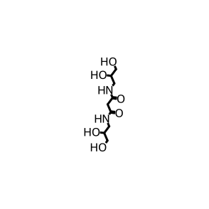 O=C(CC(=O)NCC(O)CO)NCC(O)CO